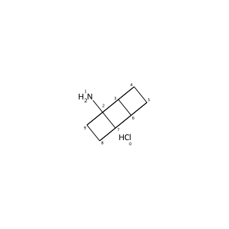 Cl.NC12C3C4C5C3C1C5C42